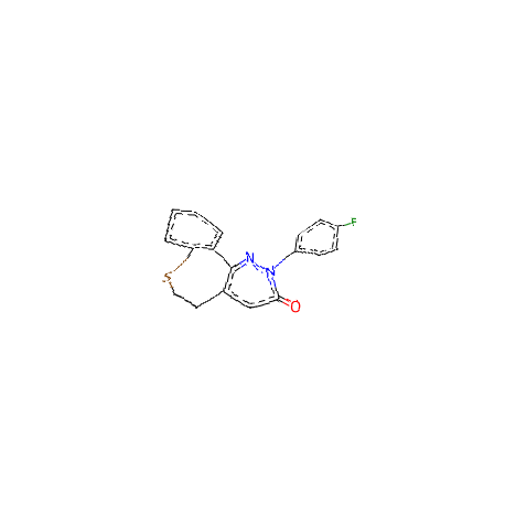 O=c1cc2c(nn1-c1ccc(F)cc1)-c1ccccc1SCC2